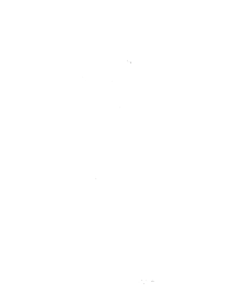 COc1ccc(C(=O)CCSC(=S)N2CCCC2)cc1